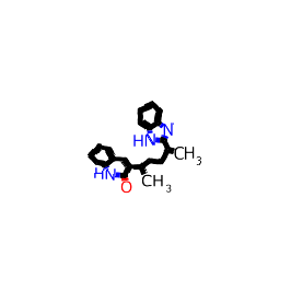 CC(CCC(C)c1cc2ccccc2[nH]c1=O)c1nc2ccccc2[nH]1